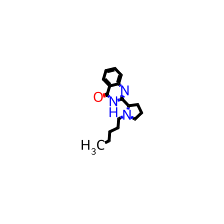 CCCCCN1CCCC1c1nc2ccccc2c(=O)[nH]1